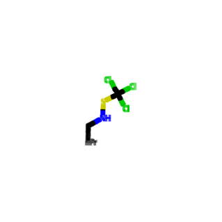 CCCCNSC(Cl)(Cl)Cl